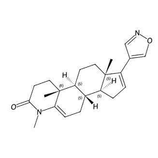 CN1C(=O)CC[C@@]2(C)C1=CC[C@@H]1[C@@H]2CC[C@]2(C)C(c3cnoc3)=CC[C@@H]12